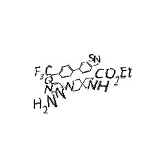 CCOC(=O)[C@@H]1CC2(CCN(c3cc(O[C@H](c4ccc(-c5ccc6cnsc6c5)cc4)C(F)(F)F)nc(N)n3)CC2)CN1